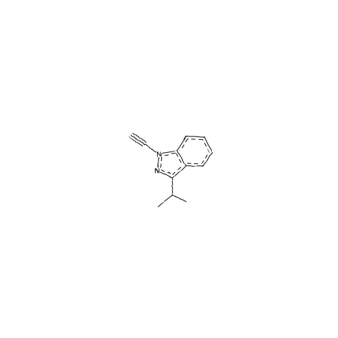 C#Cn1nc(C(C)C)c2ccccc21